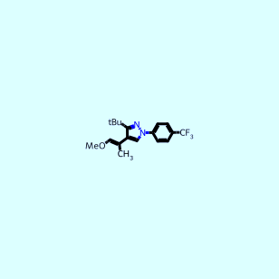 CO/C=C(\C)c1cn(-c2ccc(C(F)(F)F)cc2)nc1C(C)(C)C